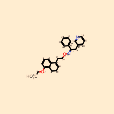 O=C(O)COc1cccc2c1CCC=C2CCON=C(Cc1cccnc1)c1ccccc1